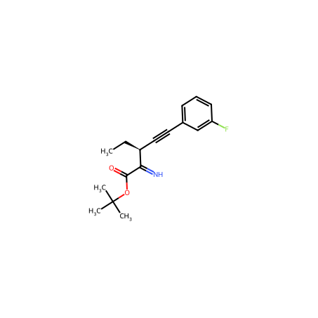 CC[C@@H](C#Cc1cccc(F)c1)C(=N)C(=O)OC(C)(C)C